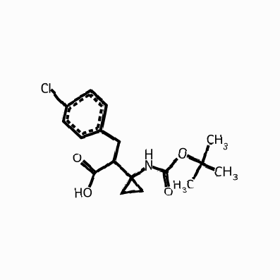 CC(C)(C)OC(=O)NC1(C(Cc2ccc(Cl)cc2)C(=O)O)CC1